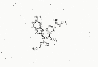 CCOC(=O)OC(C)[C@@H]1C[C@@H](C(O)CC)O[C@H]1n1c(=O)sc2cnc(N)nc21